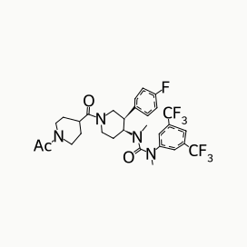 CC(=O)N1CCC(C(=O)N2CC[C@H](N(C)C(=O)N(C)c3cc(C(F)(F)F)cc(C(F)(F)F)c3)[C@H](c3ccc(F)cc3)C2)CC1